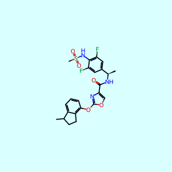 CC1CCc2c(Oc3nc(C(=O)N[C@H](C)c4cc(F)c(NS(C)(=O)=O)c(F)c4)co3)cccc21